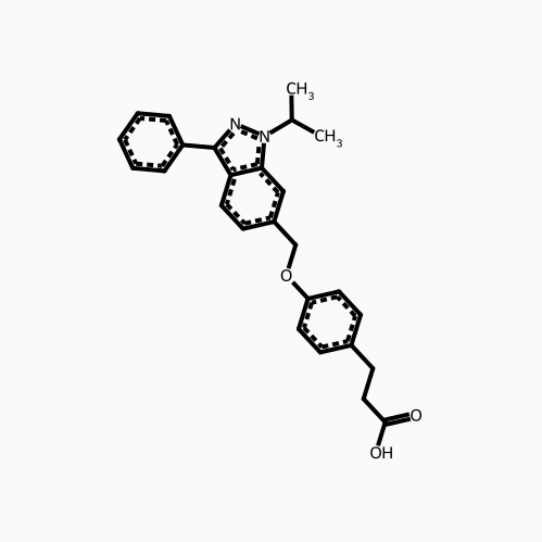 CC(C)n1nc(-c2ccccc2)c2ccc(COc3ccc(CCC(=O)O)cc3)cc21